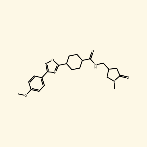 COc1ccc(-c2noc(C3CCC(C(=O)NCC4CC(=O)N(C)C4)CC3)n2)cc1